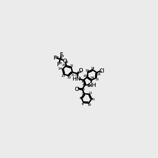 O=C(Nc1c(C(=O)c2ccccc2)[nH]c2cc(Cl)ccc12)c1cccc(OC(F)(F)F)c1